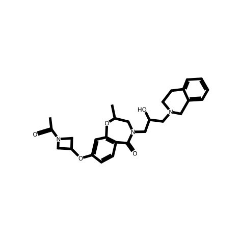 CC(=O)N1CC(Oc2ccc3c(c2)OC(C)CN(CC(O)CN2CCc4ccccc4C2)C3=O)C1